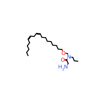 CCCCC/C=C\C/C=C\CCCCCCCCOCN(CCC)C(=O)CN